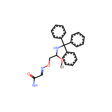 CCOC(CON=CC([NH])=O)NC(c1ccccc1)(c1ccccc1)c1ccccc1